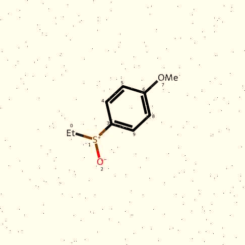 [CH2]C[S+]([O-])c1ccc(OC)cc1